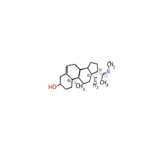 C/N=C(/C)[C@H]1CCC2C3CC=C4CC(O)CC[C@]4(C)C3CC[C@@]21C